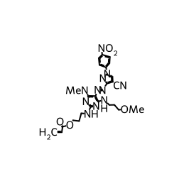 C=CC(=O)OCCCNc1nc(NC)c(N=Nc2nn(-c3ccc([N+](=O)[O-])cc3)cc2C#N)c(NCCCOC)n1